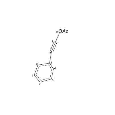 CC(=O)OC#Cc1ccccc1